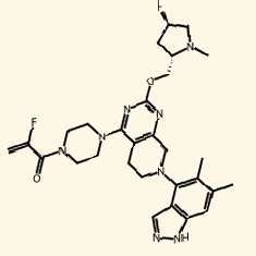 C=C(F)C(=O)N1CCN(c2nc(OC[C@@H]3C[C@@H](F)CN3C)nc3c2CCN(c2c(C)c(C)cc4[nH]ncc24)C3)CC1